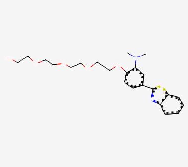 CN(C)c1cc(-c2nc3ccccc3s2)ccc1OCCOCCOCCOCCO